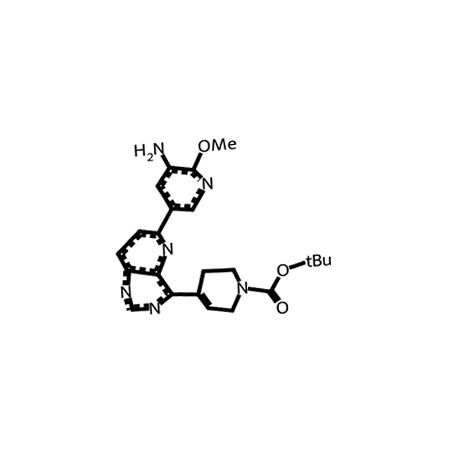 COc1ncc(-c2ccc3ncnc(C4=CCN(C(=O)OC(C)(C)C)CC4)c3n2)cc1N